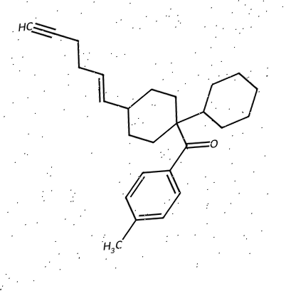 C#CCCC=CC1CCC(C(=O)c2ccc(C)cc2)(C2CCCCC2)CC1